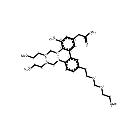 COCCOCOCCc1ccc(OCOCCOC)c(-c2cc(CC(=O)OC)cc(C=O)c2OCOCCOC)c1